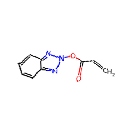 C=CC(=O)On1nc2ccccc2n1